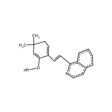 CCCOC1=CC(C)(C)CC=C1C=Cc1nccc2ccccc12